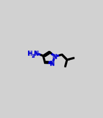 C[C](C)Cn1cc(N)cn1